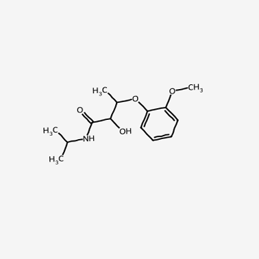 COc1ccccc1OC(C)C(O)C(=O)NC(C)C